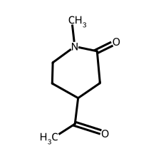 CC(=O)C1CCN(C)C(=O)C1